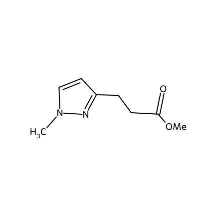 COC(=O)CCc1ccn(C)n1